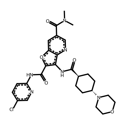 CN(C)C(=O)c1cnc2c(NC(=O)[C@H]3CC[C@H](N4CCOCC4)CC3)c(C(=O)Nc3ccc(Cl)cn3)oc2c1